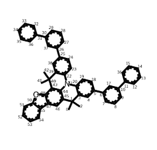 CC1(C)c2cc(-c3cccc(-c4ccccc4)c3)ccc2N2c3ccc(-c4cccc(-c5ccccc5)c4)cc3C(C)(C)c3c2c1cc1c3oc2ccccc21